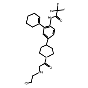 O=C(CNCCO)N1CCC(c2ccc(NC(=O)C(F)(F)F)c(C3=CCCCC3)c2)CC1